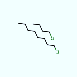 CCCCCCCCCl.CCCCCl